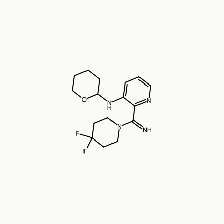 N=C(c1ncccc1NC1CCCCO1)N1CCC(F)(F)CC1